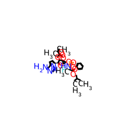 CCC(=O)O[C@H]1[C@H](c2ccc3c(N)ncnn23)O[C@]2(CF)C(OP(=O)(N[C@@H](C)C(=O)OCC(CC)CC)Oc3ccccc3)[C@]12OC(=O)CC